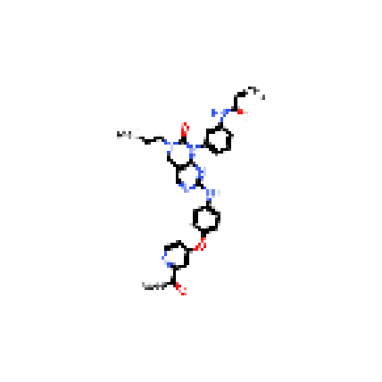 C=CC(=O)Nc1cccc(N2C(=O)N(CCOC)Cc3cnc(Nc4ccc(Oc5ccnc(C(=O)NC)c5)cc4)nc32)c1